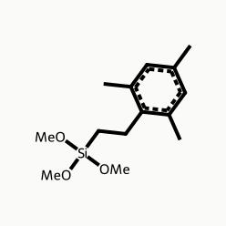 CO[Si](CCc1c(C)cc(C)cc1C)(OC)OC